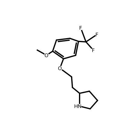 COc1ccc(C(F)(F)F)cc1OCCC1CCCN1